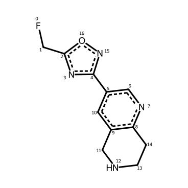 FCc1nc(-c2cnc3c(c2)CNCC3)no1